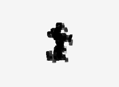 COC(=O)c1cc(S(C)(=O)=O)c(N2CCC(NC(=O)OC(C)(C)C)CC2)cc1Cl